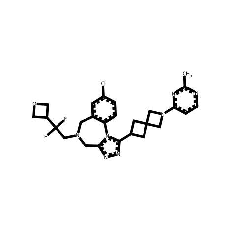 Cc1nccc(N2CC3(CC(c4nnc5n4-c4ccc(Cl)cc4CN(CC(F)(F)C4COC4)C5)C3)C2)n1